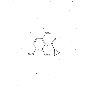 COc1ccc(OC)c(C(=O)C2CC2)c1OC